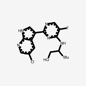 CC(C)(C)C(CO)Nc1nc(-c2c[nH]c3ncc(Cl)cc23)ncc1F